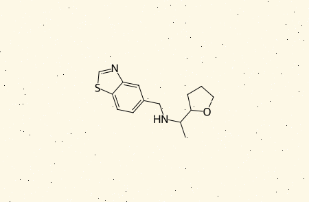 CC(NCc1ccc2scnc2c1)C1CCCO1